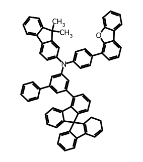 CC1(C)c2ccccc2-c2ccc(N(c3ccc(-c4cccc5c4oc4ccccc45)cc3)c3cc(-c4ccccc4)cc(-c4cccc5c4-c4ccccc4C54C5=C(C=CCC5)c5ccccc54)c3)cc21